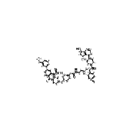 CCc1cccc(-c2cnc(C(=O)N3CCN(CC4CCN(CC(=O)NCCNC[C@@H](C(=O)N5CCN(c6ncnc7c6[C@H](C)C[C@H]7O)CC5)c5ccc(Cl)cc5)CC4)CC3)c(NC(C)=O)c2)c1